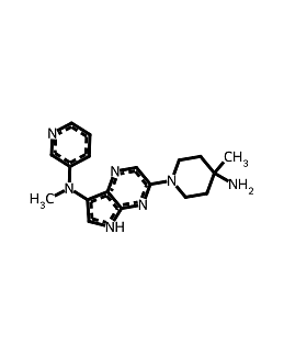 CN(c1cccnc1)c1c[nH]c2nc(N3CCC(C)(N)CC3)cnc12